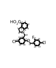 O=C(O)c1cccc2c1CCN2Cc1cc(Cl)ccc1OCc1ccc(Cl)cc1F